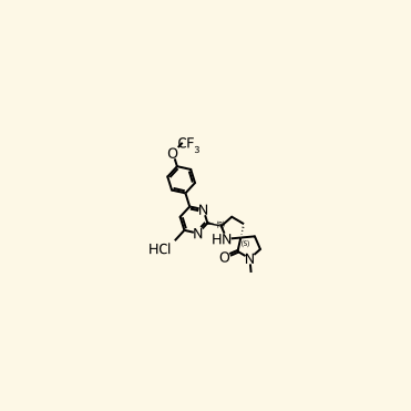 Cc1cc(-c2ccc(OC(F)(F)F)cc2)nc([C@H]2CC[C@@]3(CCN(C)C3=O)N2)n1.Cl